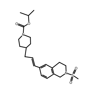 CC(C)OC(=O)N1CCC(CC=Cc2ccc3c(c2)CCN(S(C)(=O)=O)C3)CC1